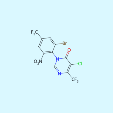 O=c1c(Cl)c(C(F)(F)F)ncn1-c1c(Br)cc(C(F)(F)F)cc1[N+](=O)[O-]